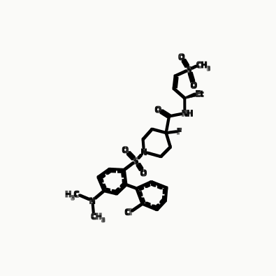 CC[C@H](/C=C\S(C)(=O)=O)NC(=O)C1(F)CCN(S(=O)(=O)c2ccc(N(C)C)cc2-c2ccccc2Cl)CC1